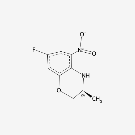 C[C@H]1COc2cc(F)cc([N+](=O)[O-])c2N1